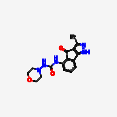 CCc1n[nH]c2c1C(=O)c1c(NC(=O)NN3CCOCC3)cccc1-2